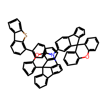 c1ccc2c(c1)Oc1ccccc1C21c2ccccc2-c2ccc(N(c3ccc(-c4cccc5c4sc4ccccc45)cc3)c3cccc4c3C3(c5ccccc5Oc5ccccc53)c3ccccc3-4)cc21